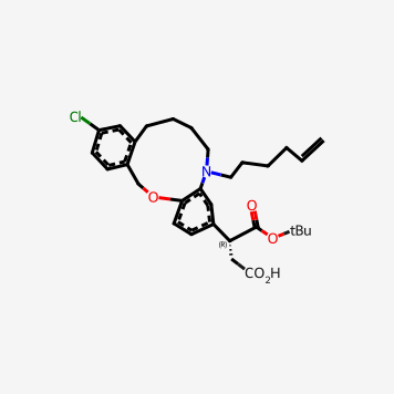 C=CCCCCN1CCCCc2cc(Cl)ccc2COc2ccc([C@@H](CC(=O)O)C(=O)OC(C)(C)C)cc21